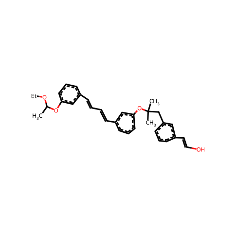 CCOC(C)Oc1cccc(C=CC=Cc2cccc(OC(C)(C)Cc3cccc(C=CO)c3)c2)c1